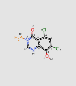 COc1c(Cl)cc(Cl)c2c(=O)n(P)cnc12